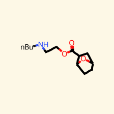 CCCCNCCOC(=O)C1CC2CCC1O2